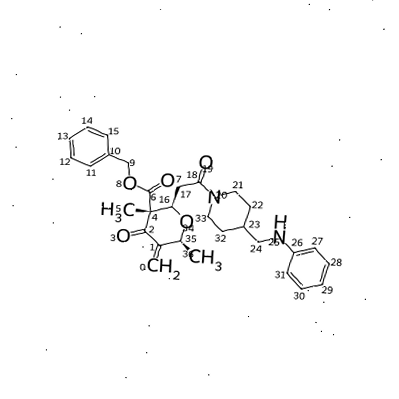 C=C1C(=O)[C@](C)(C(=O)OCc2ccccc2)[C@@H](CC(=O)N2CCC(CNc3ccccc3)CC2)O[C@H]1C